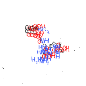 CCN[C@@H](Cc1ccccc1)C(=O)N[C@@H](Cc1ccccc1)C(=O)C(=O)[C@H](Cc1ccc(O)cc1)NNCC(=O)C(=O)CNN[C@@H](CO)C(=O)C(=O)[C@H](CCCNC(N)N)NNCC(=O)N[C@H](C)CCCCNC(=O)CCC(=O)OCC(=O)[C@]1(O)Cc2c(O)c3c(c(O)c2[C@@H](O[C@H]2C[C@H](N)[C@H](O)[C@H](C)O2)C1)C(=O)c1c(OC)cccc1C3=O